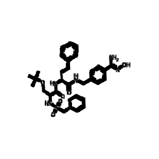 CC(C)(C)OCC(NS(=O)(=O)CC1C=CC=CC1)C(=O)N[C@@H](CCc1ccccc1)C(=O)NCc1ccc(/C(N)=N/O)cc1